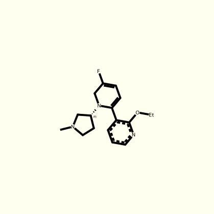 CCOc1ncccc1C1=CC=C(F)CN1[C@@H]1CCN(C)C1